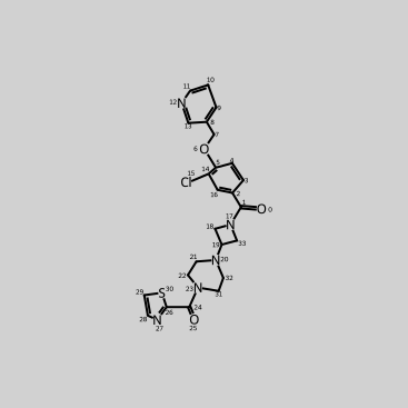 O=C(c1ccc(OCc2cccnc2)c(Cl)c1)N1CC(N2CCN(C(=O)c3nccs3)CC2)C1